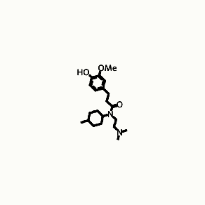 COc1cc(CCC(=O)N(CCN(C)C)C2CCC(C)CC2)ccc1O